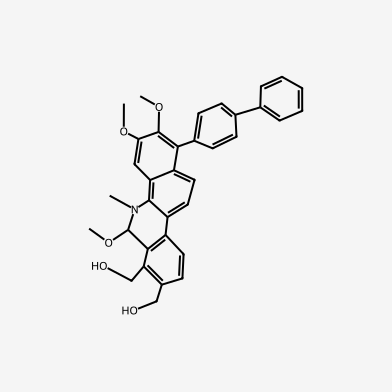 COc1cc2c3c(ccc2c(-c2ccc(-c4ccccc4)cc2)c1OC)-c1ccc(CO)c(CO)c1C(OC)N3C